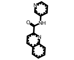 O=C(Nc1cccnc1)c1ccc2ccccc2n1